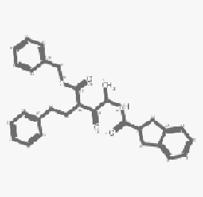 CC(NC(=O)C1Cc2ccccc2C1)C(=O)C(CCc1ccccc1)C(=O)OCc1ccccc1